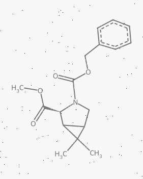 COC(=O)[C@@H]1C2C(CN1C(=O)OCc1ccccc1)C2(C)C